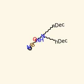 CCCCCCCCCCCCCCCCCCN(CCCCCCCCCCCCCCCCCC)CCCNC(=O)CCSSc1ccccn1